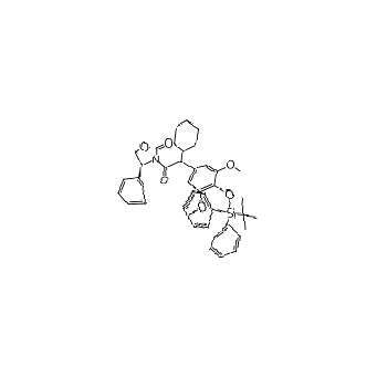 COc1cc(C(C(=O)N2C(=O)OC[C@@H]2c2ccccc2)C2CCCCC2)cc(OC)c1O[Si](c1ccccc1)(c1ccccc1)C(C)(C)C